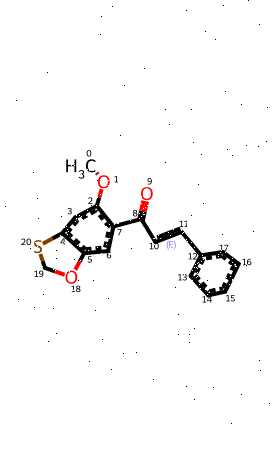 COc1cc2c(cc1C(=O)/C=C/c1ccccc1)OCS2